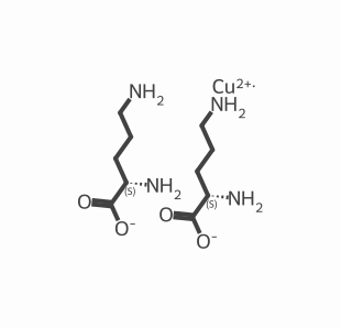 NCCC[C@H](N)C(=O)[O-].NCCC[C@H](N)C(=O)[O-].[Cu+2]